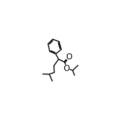 CC(C)CCC(C(=O)OC(C)C)c1ccccc1